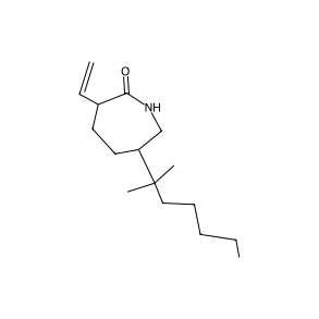 C=CC1CCC(C(C)(C)CCCCC)CNC1=O